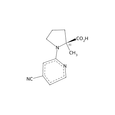 C[C@@]1(C(=O)O)CCCN1c1cc(C#N)ccn1